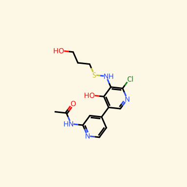 CC(=O)Nc1cc(-c2cnc(Cl)c(NSCCCO)c2O)ccn1